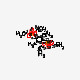 CCOP(=O)(Cc1cc(C)c(CP(=O)(OCC)OCC)cc1C)OCC